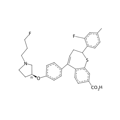 Cc1ccc(C2CC=C(c3ccc(O[C@H]4CCN(CCCF)C4)cc3)c3ccc(C(=O)O)cc3S2)c(F)c1